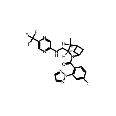 C[C@@H]1C2CC(C2)N(C(=O)c2ccc(Cl)cc2-n2nccn2)[C@@H]1CNc1cnc(C(F)(F)F)cn1